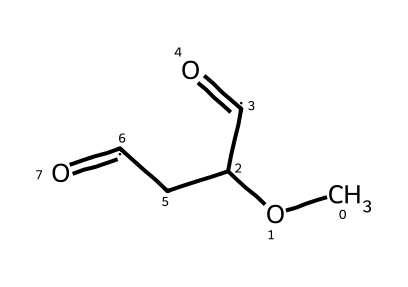 COC([C]=O)C[C]=O